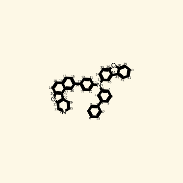 c1ccc(-c2cccc(N(c3ccc(-c4ccc5ccc6oc7cnccc7c6c5c4)cc3)c3ccc4oc5ccccc5c4c3)c2)cc1